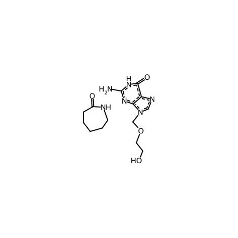 Nc1nc2c(ncn2COCCO)c(=O)[nH]1.O=C1CCCCCN1